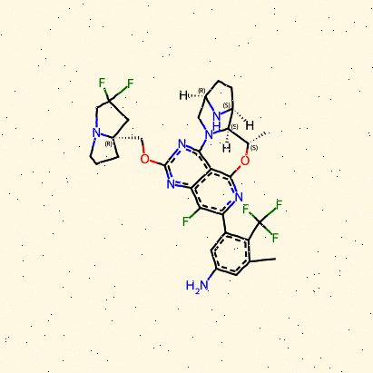 Cc1cc(N)cc(-c2nc3c4c(nc(OC[C@]56CCCN5CC(F)(F)C6)nc4c2F)N2C[C@H]4CC[C@H](N4)[C@H]2[C@H](C)O3)c1C(F)(F)F